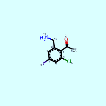 CCC(=O)c1c(Cl)cc(I)cc1CN